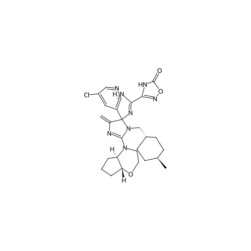 C=C1N=C(N2CCO[C@@H]3CCC[C@H]32)N(C[C@H]2CC[C@H](C)CC2)C1(/N=C(\N)c1noc(=O)[nH]1)c1cncc(Cl)c1